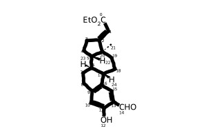 CCOC(=O)/C=C1\CC[C@H]2[C@@H]3CCc4cc(O)c(C=O)cc4[C@H]3CC[C@]12C